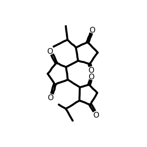 CC(C)C1C(=O)CC(=O)C1C1C(=O)CC(=O)C1C1C(=O)CC(=O)C1C(C)C